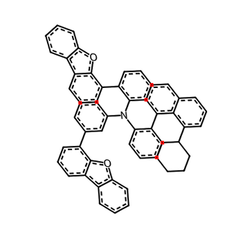 c1cc(-c2cccc3c2oc2ccccc23)cc(N(c2ccccc2-c2cccc3c2oc2ccccc23)c2ccccc2-c2cccc3cccc(C4CCCCC4)c23)c1